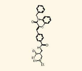 CCN(CC)CC(CNC(=O)c1ccc(/C=C2\Sc3ccccc3N(Cc3ccccc3)C2=O)cc1)N(CC)CC